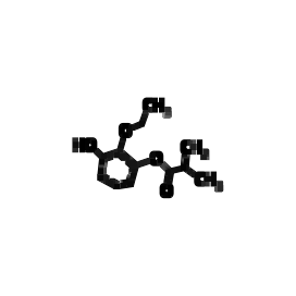 C=C(C)C(=O)Oc1cccc(O)c1OCC